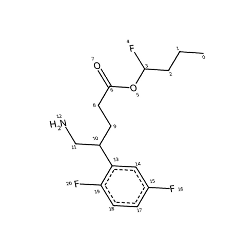 CCCC(F)OC(=O)CCC(CN)c1cc(F)ccc1F